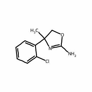 CC1(c2ccccc2Cl)COC(N)=N1